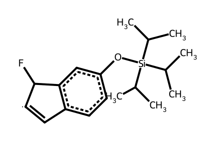 CC(C)[Si](Oc1ccc2c(c1)C(F)[C]=C2)(C(C)C)C(C)C